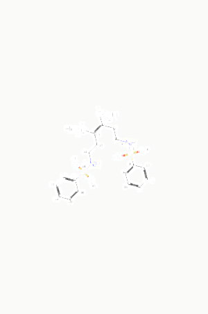 O=C(O)C(CCNS(=O)(=O)c1ccccc1)=C(CCNS(=O)(=O)c1ccccc1)C(=O)O